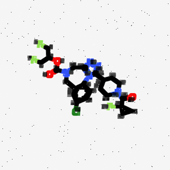 O=C(OC(CF)CF)N1Cc2cc(Cl)ccc2-n2c(nnc2C2CCN(C(=O)C3(F)CC3)CC2)C1